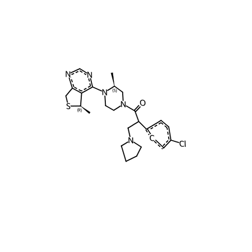 C[C@H]1SCc2ncnc(N3CCN(C(=O)C(CN4CCCC4)c4ccc(Cl)cc4)C[C@@H]3C)c21